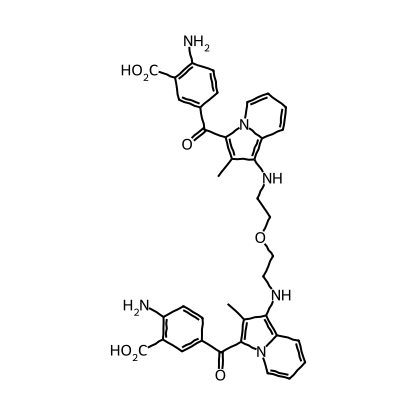 Cc1c(NCCOCCNc2c(C)c(C(=O)c3ccc(N)c(C(=O)O)c3)n3ccccc23)c2ccccn2c1C(=O)c1ccc(N)c(C(=O)O)c1